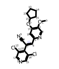 COc1cnc(/C=C(\C#N)c2c(Cl)cncc2Cl)cc1OC1CCCC1